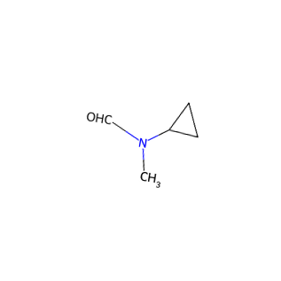 CN(C=O)C1CC1